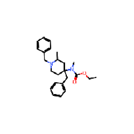 CCOC(=O)N(C)C1(Cc2ccccc2)CCN(Cc2ccccc2)C(C)C1